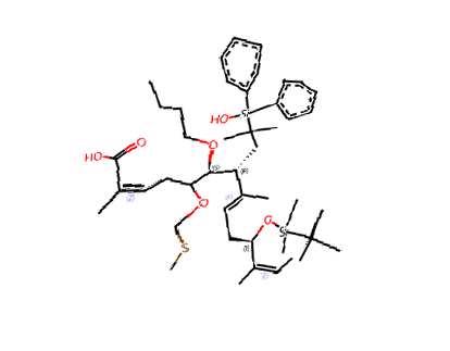 C/C=C(/C)[C@@H](C/C=C(\C)[C@@H](CC(C)(C)[Si](O)(c1ccccc1)c1ccccc1)[C@H](OCCCC)C(C/C=C(/C)C(=O)O)OCSC)O[Si](C)(C)C(C)(C)C